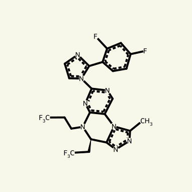 Cc1nnc2n1-c1cnc(-n3ccnc3-c3ccc(F)cc3F)nc1N(CCC(F)(F)F)[C@@H]2CC(F)(F)F